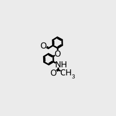 CC(=O)Nc1ccccc1Oc1ccccc1C=O